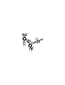 CCCCC(=O)NCCOc1cc(C(F)(F)F)ccc1-c1cn(-c2cc([N+](=O)[O-])ccc2NC)cn1